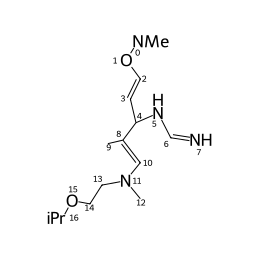 CNO/C=C/C(NC=N)/C(C)=C/N(C)CCOC(C)C